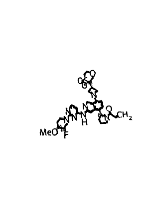 C=CC(=O)N1CCC[C@H]1c1ccc(N2CC([C@@H]3COCCS3(=O)=O)C2)c2cnc(Nc3ccnc(N4CC[C@@H](OC)[C@@H](F)C4)n3)cc12